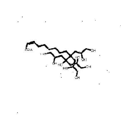 CCCCCCCC/C=C\CCCCCCC(CC(O)CO)(CC(O)CO)C(O)(CC(O)CO)CC(O)CO